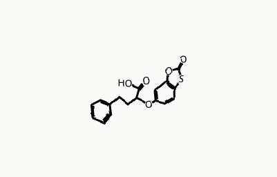 O=C(O)C(CCc1ccccc1)Oc1ccc2sc(=O)oc2c1